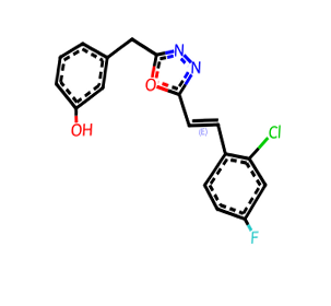 Oc1cccc(Cc2nnc(/C=C/c3ccc(F)cc3Cl)o2)c1